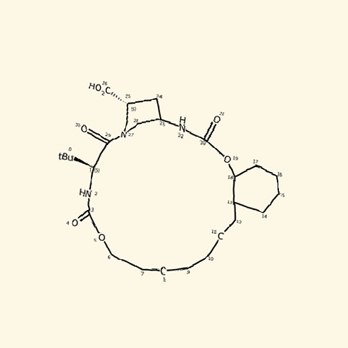 CC(C)(C)[C@@H]1NC(=O)OCCCCCCCC2CCCCC2OC(=O)NC2C[C@@H](C(=O)O)N(C2)C1=O